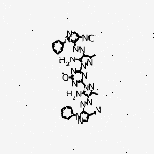 [C-]#[N+]c1cnn(-c2ccccc2)c1N=Nc1c(C)nn(-c2nc(OC)nc(-n3nc(C)c(N=Nc4c(C#N)cnn4-c4ccccc4)c3N)n2)c1N